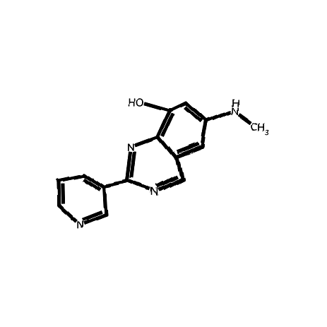 CNc1cc(O)c2nc(-c3cccnc3)ncc2c1